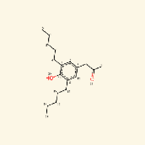 CCCCCc1cc(CC(C)=O)cc(CCCCC)c1O